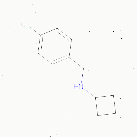 Clc1ccc(CNC2CCC2)cc1